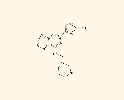 Cc1ccc(-c2cc3nccnc3c(NC[C@H]3CCCNC3)n2)s1